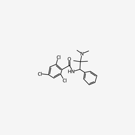 CN(C)C(C)(C)C(NC(=O)c1c(Cl)cc(Cl)cc1Cl)c1ccccc1